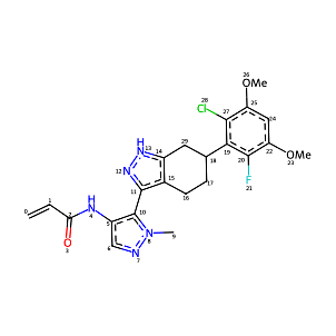 C=CC(=O)Nc1cnn(C)c1-c1n[nH]c2c1CCC(c1c(F)c(OC)cc(OC)c1Cl)C2